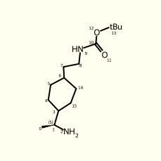 C[C@H](N)C1CCC(CCNC(=O)OC(C)(C)C)CC1